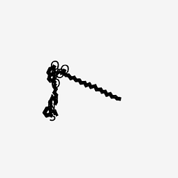 CCCCCCCCCCCCCCCCCCCCCCC(=O)OCn1c(=O)ccc2ccc(OCCCCN3CCN(c4cccc5sccc45)CC3)cc21